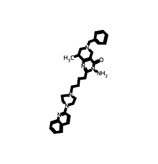 CC1CN(Cc2ccccc2)Cc2c1nc(CCCCN1CCN(c3ccc4ccccc4n3)CC1)n(N)c2=O